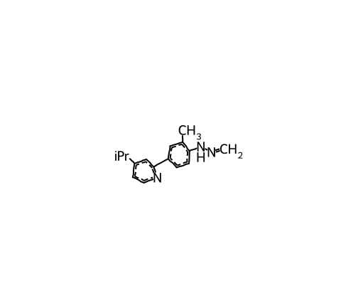 C=NNc1ccc(-c2cc(C(C)C)ccn2)cc1C